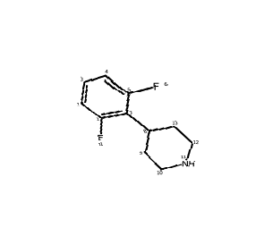 Fc1cccc(F)c1C1CCNCC1